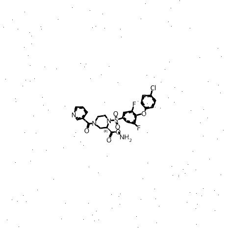 NOC(=O)[C@H]1CN(C(=O)c2cccnc2)CCN1S(=O)(=O)c1cc(F)c(Oc2ccc(Cl)cc2)c(F)c1